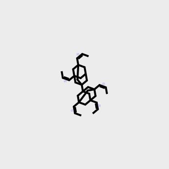 C/C=C\C12CC3CC(/C=C\C)(C1)CC(C14CC5(/C=C\C)CC(/C=C\C)(CC(/C=C\C)(C5)C1)C4)(C3)C2